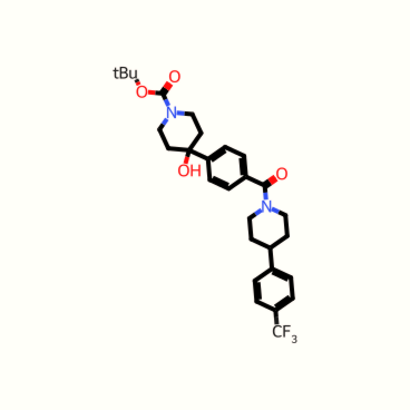 CC(C)(C)OC(=O)N1CCC(O)(c2ccc(C(=O)N3CCC(c4ccc(C(F)(F)F)cc4)CC3)cc2)CC1